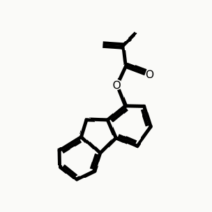 C=C(C)C(=O)Oc1cccc2c1Cc1ccccc1-2